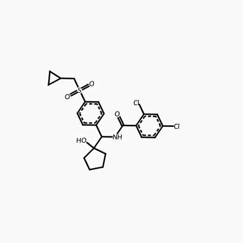 O=C(NC(c1ccc(S(=O)(=O)CC2CC2)cc1)C1(O)CCCC1)c1ccc(Cl)cc1Cl